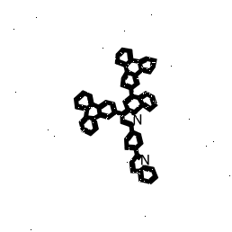 c1ccc2nc(-c3ccc(-c4cc(-c5ccc6c7ccccc7c7ccccc7c6c5)c5cc(-c6ccc7c8ccccc8c8ccccc8c7c6)c6ccccc6c5n4)cc3)ccc2c1